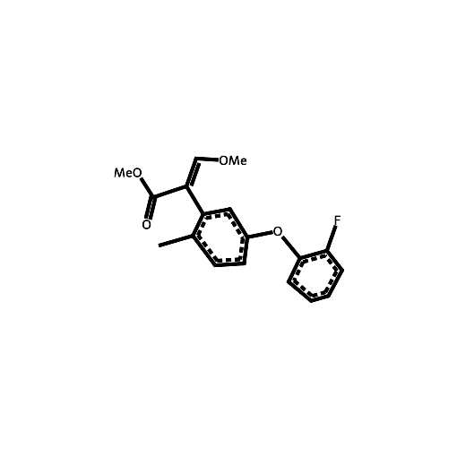 CO/C=C(/C(=O)OC)c1cc(Oc2ccccc2F)ccc1C